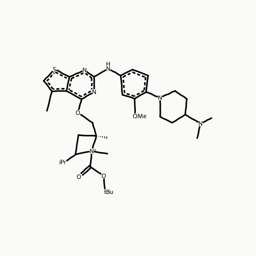 COc1cc(Nc2nc(OC[C@]3(C)CC(C(C)C)[N+]3(C)C(=O)OC(C)(C)C)c3c(C)csc3n2)ccc1N1CCC(N(C)C)CC1